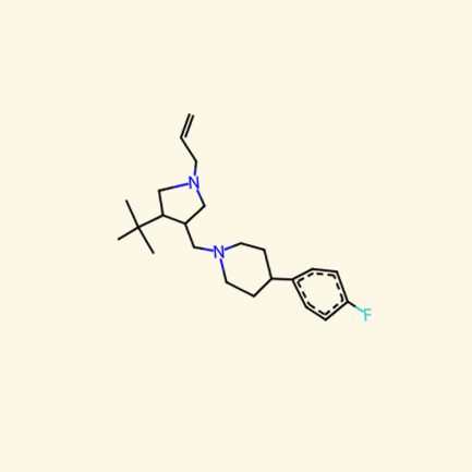 C=CCN1CC(CN2CCC(c3ccc(F)cc3)CC2)C(C(C)(C)C)C1